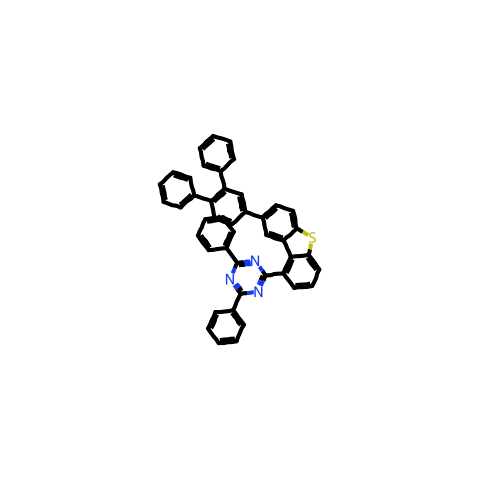 c1ccc(-c2nc(-c3ccccc3)nc(-c3cccc4sc5ccc(-c6ccc(-c7ccccc7)c(-c7ccccc7)c6)cc5c34)n2)cc1